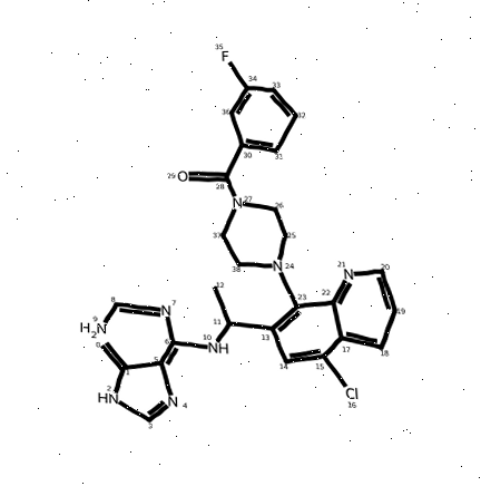 C=c1[nH]cn/c1=C(/N=C\N)NC(C)c1cc(Cl)c2cccnc2c1N1CCN(C(=O)c2cccc(F)c2)CC1